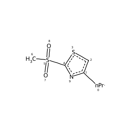 CC[CH]c1csc(S(C)(=O)=O)n1